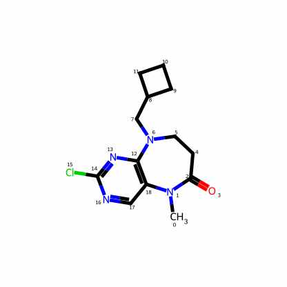 CN1C(=O)CCN(CC2CCC2)c2nc(Cl)ncc21